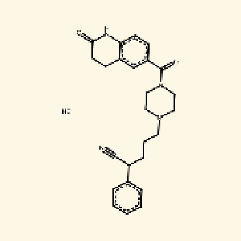 Cl.N#CC(CCCN1CCN(C(=O)c2ccc3c(c2)CCC(=O)N3)CC1)c1ccccc1